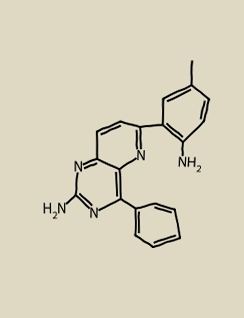 Cc1ccc(N)c(-c2ccc3nc(N)nc(-c4ccccc4)c3n2)c1